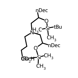 CCCCCCCCCCC(CN(CCCC(=O)O)CC(CCCCCCCCCC)O[Si](C)(C)C(C)(C)C)O[Si](C)(C)C(C)(C)C